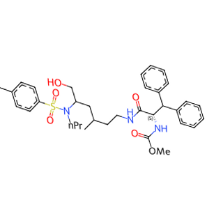 CCCN(C(CO)CC(C)CCNC(=O)[C@@H](NC(=O)OC)C(c1ccccc1)c1ccccc1)S(=O)(=O)c1ccc(C)cc1